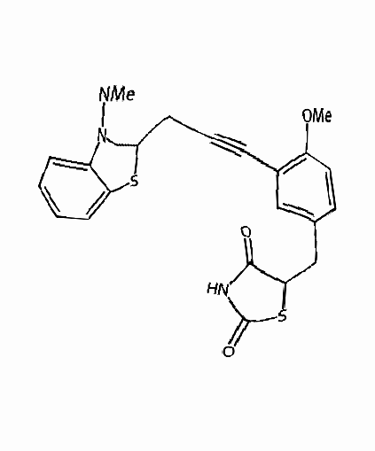 CNN1c2ccccc2SC1CC#Cc1cc(CC2SC(=O)NC2=O)ccc1OC